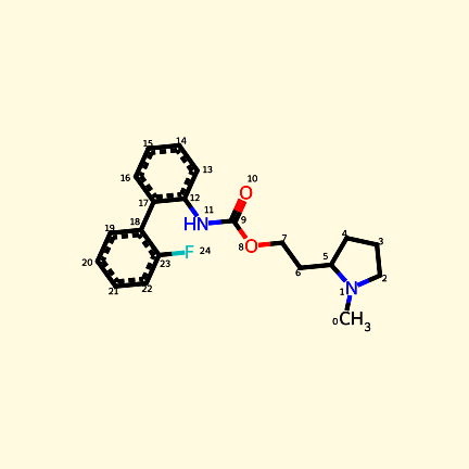 CN1CCCC1CCOC(=O)Nc1ccccc1-c1ccccc1F